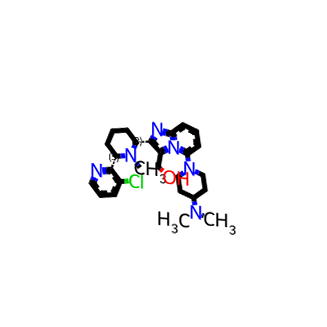 CN(C)C1CCN(c2cccc3nc([C@H]4CCC[C@@H](c5ncccc5Cl)N4C)c(CO)n23)CC1